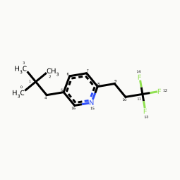 CC(C)(C)Cc1ccc(CCC(F)(F)F)nc1